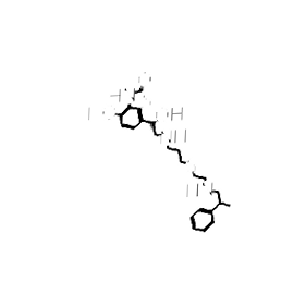 CC(CNCCSCCCNC[C@H](O)c1ccc(O)c2[nH]c(=O)sc12)c1ccccc1